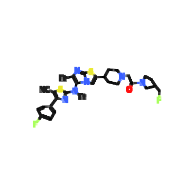 CCc1nc2sc(C3CCN(CC(=O)N4CCC(CF)C4)CC3)cn2c1N(CC)c1nc(-c2ccc(F)cc2)c(C#N)s1